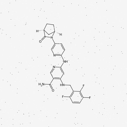 NC(=O)c1cnc(Nc2ccc(N3C(=O)[C@H]4CC[C@@H]3C4)cn2)cc1NCc1c(F)ccc(F)c1F